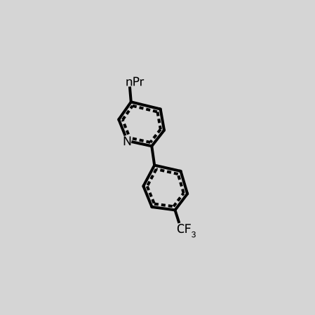 CCCc1ccc(-c2ccc(C(F)(F)F)cc2)nc1